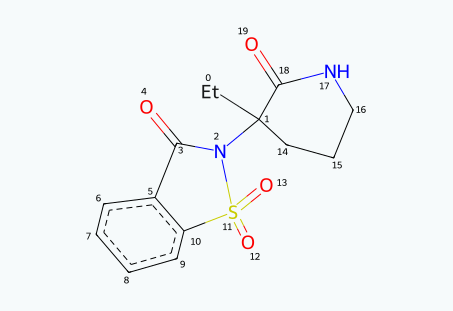 CCC1(N2C(=O)c3ccccc3S2(=O)=O)CCCNC1=O